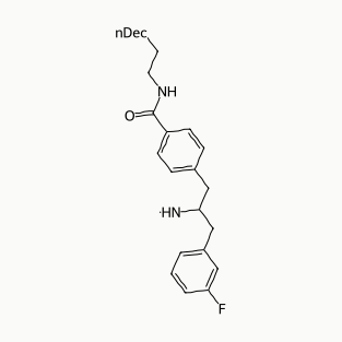 CCCCCCCCCCCCNC(=O)c1ccc(CC([NH])Cc2cccc(F)c2)cc1